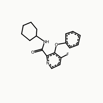 O=C(NC1CCCCC1)c1nccc(F)c1Oc1ccccc1